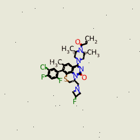 C=CC(=O)N1[C@H](C)CN(c2nc(=O)n3c4c(c(-c5cc(Cl)c(F)cc5F)c(C)cc24)SCC3CN2CC(F)C2)C[C@@H]1C